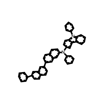 c1ccc(-c2ccc3ccc(-c4ccc5ccc(N(c6ccccc6)c6ccc7c(c6)c6ccccc6n7-c6ccccc6)cc5c4)cc3c2)cc1